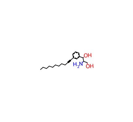 CCCCCCCCCC#Cc1cccc(C(O)C(N)CO)c1